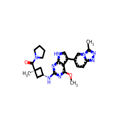 COc1nc(N[C@H]2C[C@](C)(C(=O)N3CCCC3)C2)nc2[nH]cc(-c3ccc4nnc(C)n4c3)c12